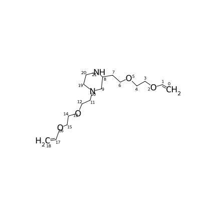 C=COCCOCCC1CN(CCOCCOC=C)CCN1